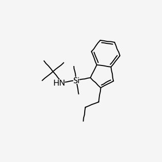 CCCC1=Cc2ccccc2C1[Si](C)(C)NC(C)(C)C